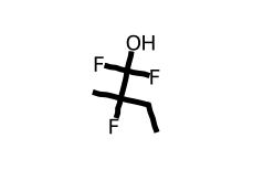 CCC(C)(F)C(O)(F)F